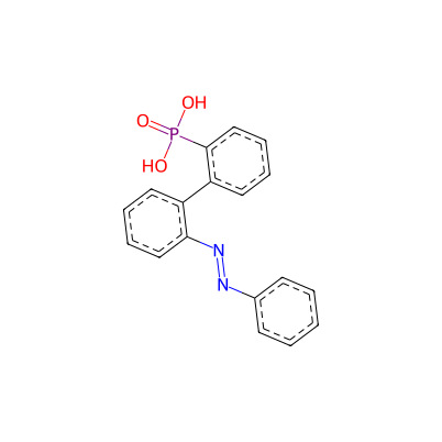 O=P(O)(O)c1ccccc1-c1ccccc1N=Nc1ccccc1